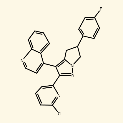 Fc1ccc(C2Cc3c(-c4ccnc5ccccc45)c(-c4cccc(Cl)n4)nn3C2)cc1